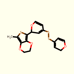 Cc1sc(C2C=C(SSC3=CCOC=C3)C=CO2)c2c1OCCO2